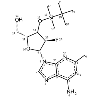 Cc1nc(N)c2ncn([C@@H]3O[C@H](CO)C(O[Si](C)(C)C(C)(C)C)[C@H]3F)c2n1